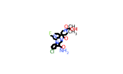 CC(C)(O)C(=O)N1CCC2(CC1)C(=O)N(Cc1c(C(N)=O)c3cc(Cl)ccc3n1CCCCF)c1cnccc12